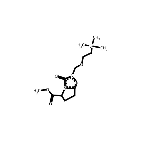 COC(=O)C1CCc2nn(COCC[Si](C)(C)C)c(=O)n21